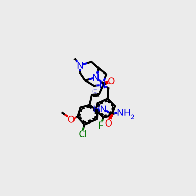 COc1cc(/C=C/C(=O)N2C3CN(C)CC2CN(Cc2ccc(F)cc2)C3)c(NC(N)=O)cc1Cl